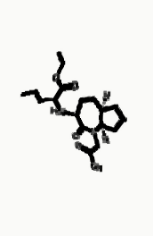 CCC[C@H](N[C@H]1CC[C@H]2CCC[C@H]2N(CC(=O)O)C1=O)C(=O)OCC